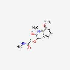 CNC(=O)COc1cc2cccc(OC)c2n(C)c1=O